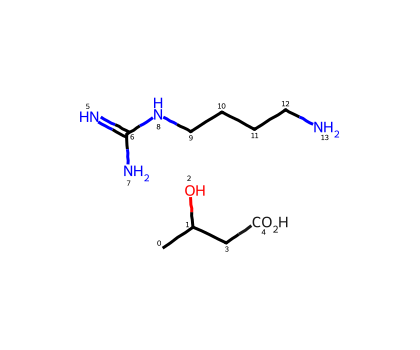 CC(O)CC(=O)O.N=C(N)NCCCCN